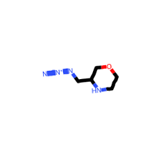 [N-]=[N+]=NCC1COCCN1